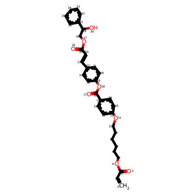 C=CC(=O)OCCCCCCOc1ccc(C(=O)Oc2ccc(C=CC(=O)OCC(O)c3ccccc3)cc2)cc1